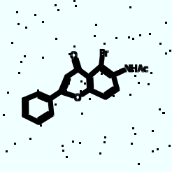 CC(=O)Nc1ccc2oc(-c3ccccc3)cc(=O)c2c1Br